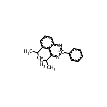 CC(C)c1cccc2n[12c](-c3ccccc3)nc(C(C)C)c12